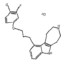 Cl.Fc1cc(OCCCc2cccc3[nH]c4c(c23)CCNCC4)ccc1Cl